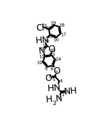 N=C(N)NCC(=O)Oc1ccc2nc(Nc3ccccc3Cl)oc2c1